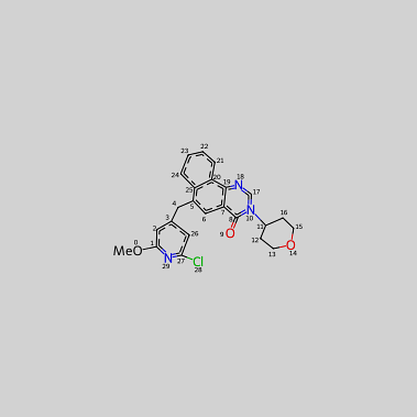 COc1cc(Cc2cc3c(=O)n(C4CCOCC4)cnc3c3ccccc23)cc(Cl)n1